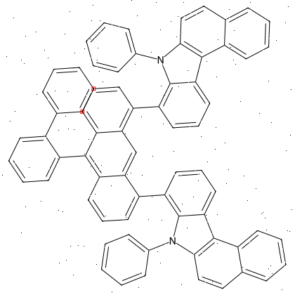 c1ccc(-c2ccccc2-c2c3cccc(-c4cccc5c6c7ccccc7ccc6n(-c6ccccc6)c45)c3cc3c(-c4cccc5c6c7ccccc7ccc6n(-c6ccccc6)c45)cccc23)cc1